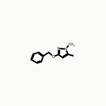 Cn1nc(OCc2ccccc2)cc1I